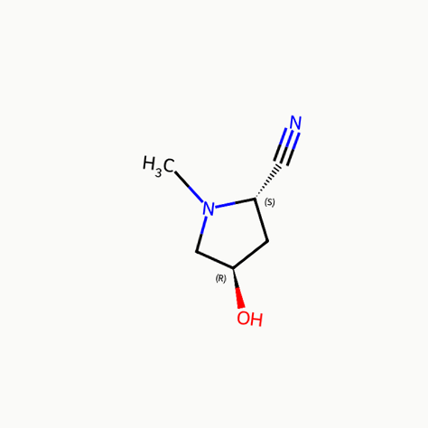 CN1C[C@H](O)C[C@H]1C#N